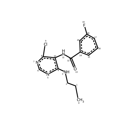 CCCNc1ncnc(Cl)c1NC(=O)c1cccc(F)c1